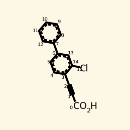 O=C(O)C#Cc1ccc(-c2ccccc2)cc1Cl